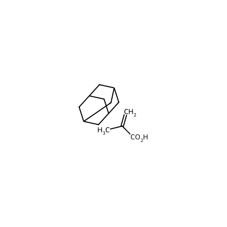 C1C2CC3CC1CC(C2)C3.C=C(C)C(=O)O